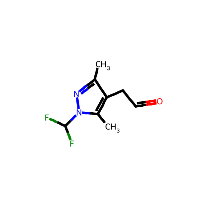 Cc1nn(C(F)F)c(C)c1CC=O